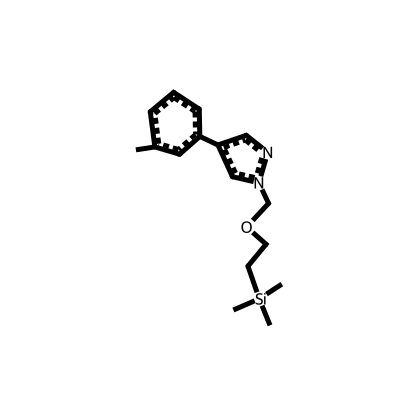 Cc1cccc(-c2cnn(COCC[Si](C)(C)C)c2)c1